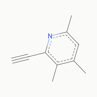 C#Cc1nc(C)cc(C)c1C